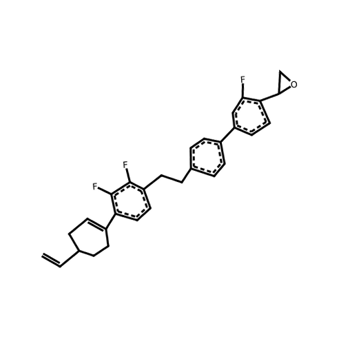 C=CC1CC=C(c2ccc(CCc3ccc(-c4ccc(C5CO5)c(F)c4)cc3)c(F)c2F)CC1